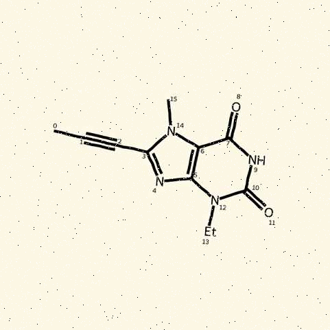 CC#Cc1nc2c(c(=O)[nH]c(=O)n2CC)n1C